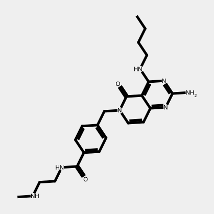 CCCCNc1nc(N)nc2ccn(Cc3ccc(C(=O)NCCNC)cc3)c(=O)c12